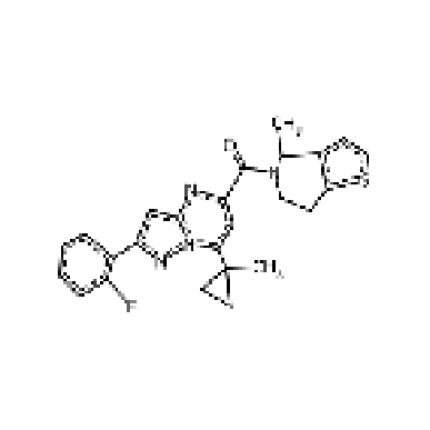 CC1c2ccsc2CCN1C(=O)c1cc(C2(C)CC2)n2nc(-c3ccccc3F)cc2n1